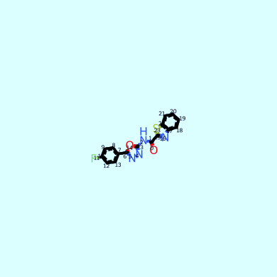 O=C(Nc1nnc(-c2ccc(F)cc2)o1)c1nc2ccccc2s1